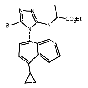 CCOC(=O)C(C)Sc1nnc(Br)n1-c1ccc(C2CC2)c2ccccc12